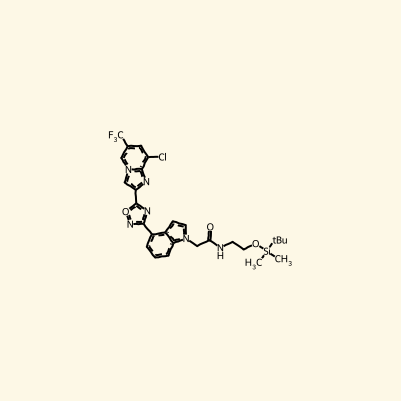 CC(C)(C)[Si](C)(C)OCCNC(=O)Cn1ccc2c(-c3noc(-c4cn5cc(C(F)(F)F)cc(Cl)c5n4)n3)cccc21